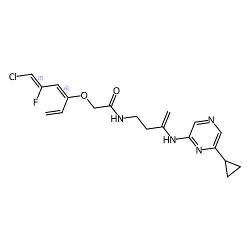 C=C/C(=C\C(F)=C\Cl)OCC(=O)NCCC(=C)Nc1cncc(C2CC2)n1